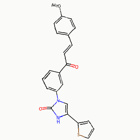 COc1ccc(/C=C/C(=O)c2cccc(-n3cc(-c4cccs4)[nH]c3=O)c2)cc1